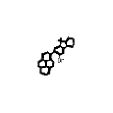 CC1(C)c2ccccc2-c2cc(Br)c(-c3ccc4ccc5cccc6ccc3c4c56)cc21